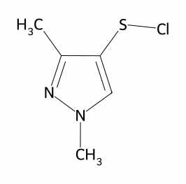 Cc1nn(C)cc1SCl